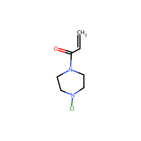 C=CC(=O)N1CCN(Cl)CC1